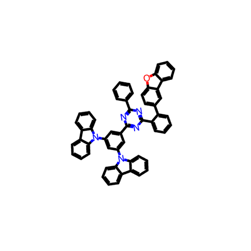 c1ccc(-c2nc(-c3cc(-n4c5ccccc5c5ccccc54)cc(-n4c5ccccc5c5ccccc54)c3)nc(-c3ccccc3-c3ccc4oc5ccccc5c4c3)n2)cc1